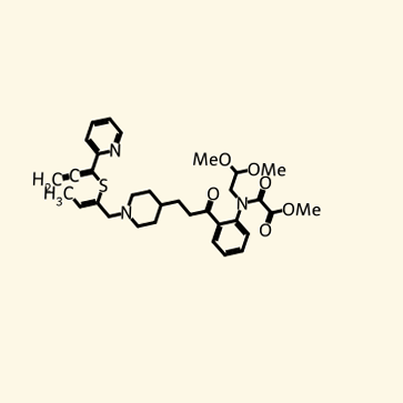 C=C=C(S/C(=C\C)CN1CCC(CCC(=O)c2ccccc2N(CC(OC)OC)C(=O)C(=O)OC)CC1)c1ccccn1